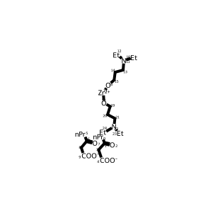 CCCC(=O)CC(=O)[O-].CCCC(=O)CC(=O)[O-].CCN(CC)CCC[O][Zr+2][O]CCCN(CC)CC